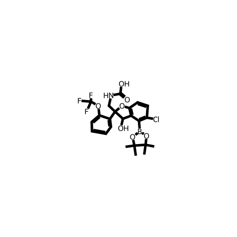 CC1(C)OB(c2c(Cl)ccc3c2C(O)C(CNC(=O)O)(c2ccccc2OC(F)(F)F)O3)OC1(C)C